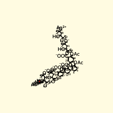 CC(=O)Oc1ccccc1C(=O)[O-].CC(=O)Oc1ccccc1C(=O)[O-].CC(=O)Oc1ccccc1C(=O)[O-].CC(=O)Oc1ccccc1C(=O)[O-].[Au+3].[Au+3].[Au+3].[Na+].[Na+].[Na+].[O-]C(=S)CC(O)C([O-])=S.[O-]C(=S)CC(O)C([O-])=S.[O-]C(=S)CC(O)C([O-])=S.[O-]C(=S)CC(O)C([O-])=S